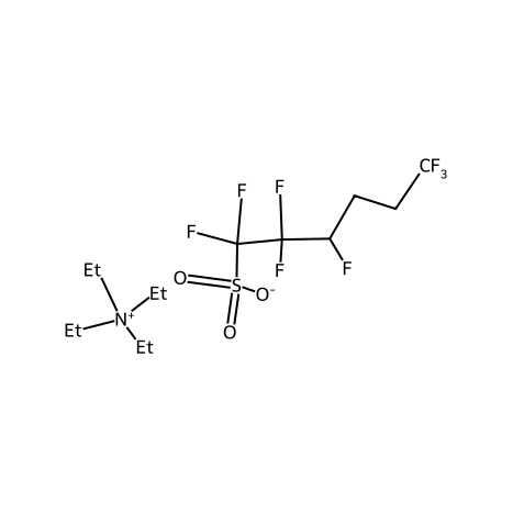 CC[N+](CC)(CC)CC.O=S(=O)([O-])C(F)(F)C(F)(F)C(F)CCC(F)(F)F